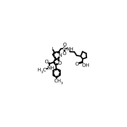 CNC(=O)c1c(-c2ccc(C)cc2)oc2nc(CS(=O)(=O)NCCCC3CCCC3C(=O)O)c(I)cc12